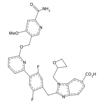 COc1cc(C(N)=O)ncc1COc1cccc(-c2cc(F)c(Cc3nc4ccc(C(=O)O)cc4n3CC3CCO3)cc2F)n1